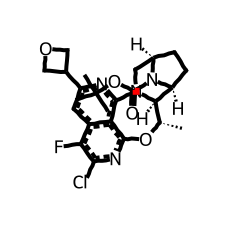 C[C@@H]1Oc2nc(Cl)c(F)c3cc(C4COC4)nc(c23)N2C[C@H]3CC[C@@H]([C@@H]12)N3C(=O)OC(C)(C)C